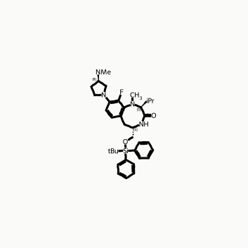 CN[C@@H]1CCN(c2ccc3c(c2F)N(C)[C@@H](C(C)C)C(=O)N[C@H](CO[Si](c2ccccc2)(c2ccccc2)C(C)(C)C)C3)C1